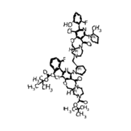 C[C@H]1CCCN1c1nc(-c2c(O)cccc2F)c(Cl)c2c1C(=O)N1CCN(C[C@H]3CCCN3c3nc(-c4c(F)cccc4OC(=O)OC(C)(C)C)c(Cl)c4c3C(=O)N3CCN(C(=O)OC(C)(C)C)C[C@@H]3CO4)C[C@@H]1CO2